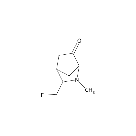 CN1C2CC(CC2=O)C1CF